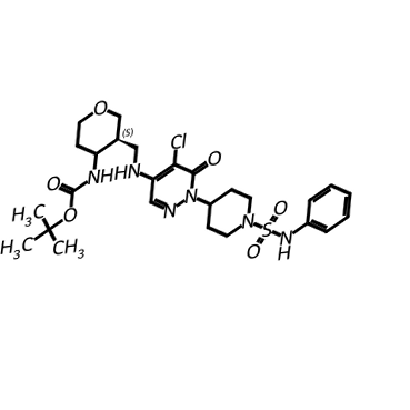 CC(C)(C)OC(=O)NC1CCOC[C@H]1CNc1cnn(C2CCN(S(=O)(=O)Nc3ccccc3)CC2)c(=O)c1Cl